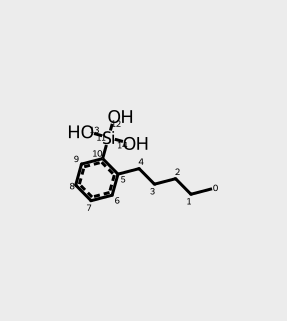 CCCCCc1ccccc1[Si](O)(O)O